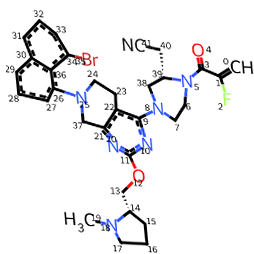 C=C(F)C(=O)N1CCN(c2nc(OC[C@@H]3CCCN3C)nc3c2CCN(c2cccc4cccc(Br)c24)C3)C[C@@H]1CC#N